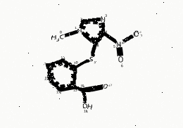 Cn1cnc([N+](=O)[O-])c1Sc1ccccc1C(=O)O